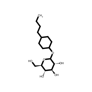 CCCCC1CCC(OC2O[C@H](CO)[C@@H](O)[C@H](O)[C@H]2O)CC1